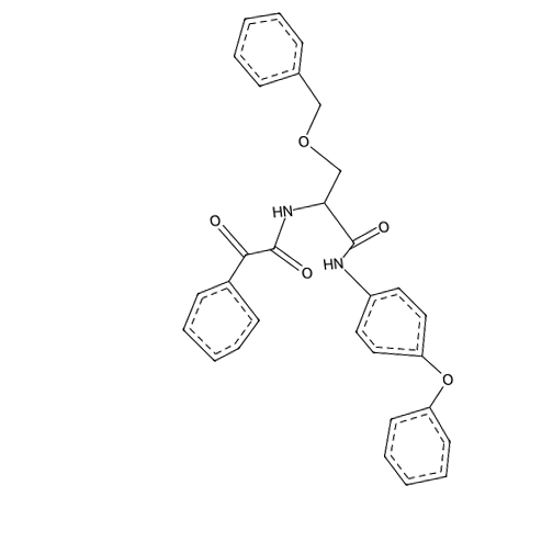 O=C(NC(COCc1ccccc1)C(=O)Nc1ccc(Oc2ccccc2)cc1)C(=O)c1ccccc1